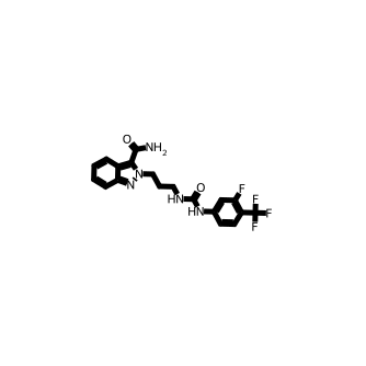 NC(=O)c1c2ccccc2nn1CCCNC(=O)Nc1ccc(C(F)(F)F)c(F)c1